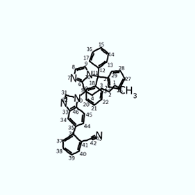 CCCCCC(c1nccn1C(c1ccccc1)(c1ccccc1)c1ccccc1)n1cnc2cc(-c3ccccc3C#N)ccc21